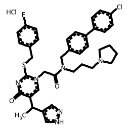 CC(c1cn[nH]c1)c1cn(CC(=O)N(CCCN2CCCC2)Cc2ccc(-c3ccc(Cl)cc3)cc2)c(SCc2ccc(F)cc2)nc1=O.Cl